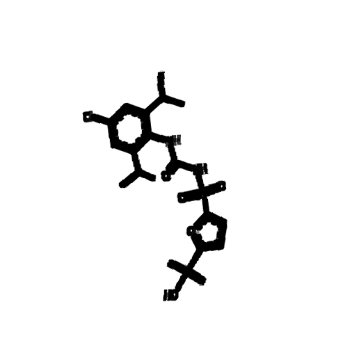 CC(C)c1cc(Cl)cc(C(C)C)c1NC(=O)NS(=O)(=O)c1ccc(C(C)(C)O)o1